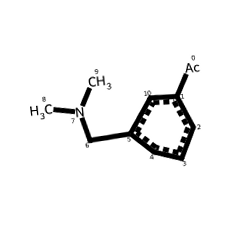 CC(=O)c1cccc(CN(C)C)c1